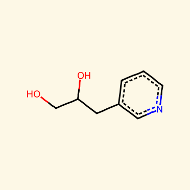 OCC(O)Cc1cccnc1